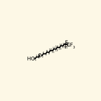 OCCCOCCCCCCCCCCCCCCC(F)(F)C(F)(F)F